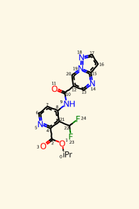 CC(C)OC(=O)c1nccc(NC(=O)c2cnc3ccnn3c2)c1C(F)F